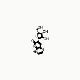 O=c1nc2[nH]ccnc-2cc1[C@@H]1O[C@H](CO)[C@H](O)C1O